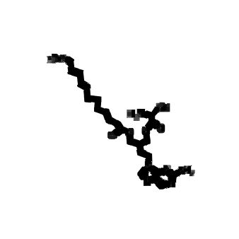 CCCCCCCCCCCCCCCCCCCCCC(=O)OCC(CCn1cnc2cnc(N)nc21)COC(=O)[C@@H](N)C(C)CC